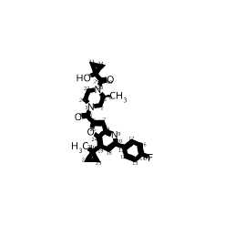 C[C@H]1CN(C(=O)c2cc3nc(-c4ccc(F)cc4)cc(C4(C)CC4)c3o2)CCN1C(=O)C1(O)CC1